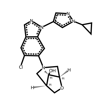 C[C@@]1(O)[C@H]2CO[C@@H]1CN(c1cc3c(cnn3-c3cnn(C4CC4)c3)cc1Cl)C2